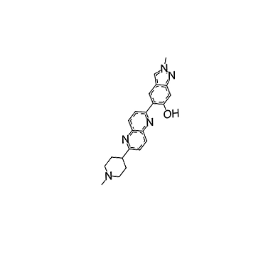 CN1CCC(c2ccc3nc(-c4cc5cn(C)nc5cc4O)ccc3n2)CC1